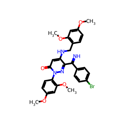 COc1ccc(CNc2cc(=O)n(-c3ccc(OC)cc3OC)nc2C(=N)c2ccc(Br)cc2)c(OC)c1